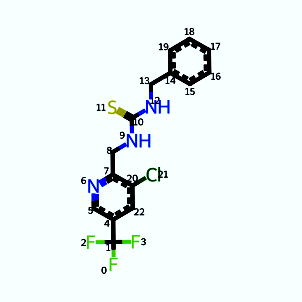 FC(F)(F)c1cnc(CNC(=S)NCc2ccccc2)c(Cl)c1